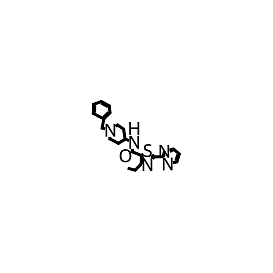 CCc1nc(-c2ncccn2)sc1C(=O)NC1CCN(Cc2ccccc2)CC1